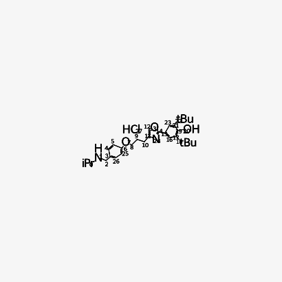 CC(C)NCc1ccc(OCCCc2coc(-c3cc(C(C)(C)C)c(O)c(C(C)(C)C)c3)n2)cc1.Cl